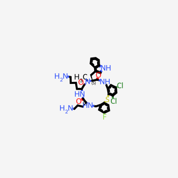 CN1C(=O)C(CCCCN)NC(=O)[C@H](CCCN)NCc2cc(F)ccc2Sc2c(Cl)cc(Cl)cc2CNC(=O)[C@@H]1Cc1c[nH]c2ccccc12